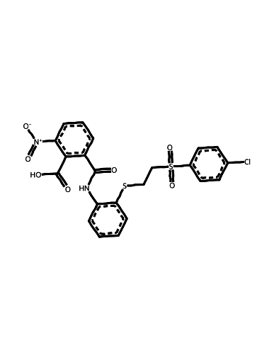 O=C(Nc1ccccc1SCCS(=O)(=O)c1ccc(Cl)cc1)c1cccc([N+](=O)[O-])c1C(=O)O